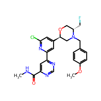 CNC(=O)c1cc(-c2cc([C@@H]3CN(Cc4ccc(OC)cc4)[C@@H](CF)CO3)cc(Cl)n2)ncn1